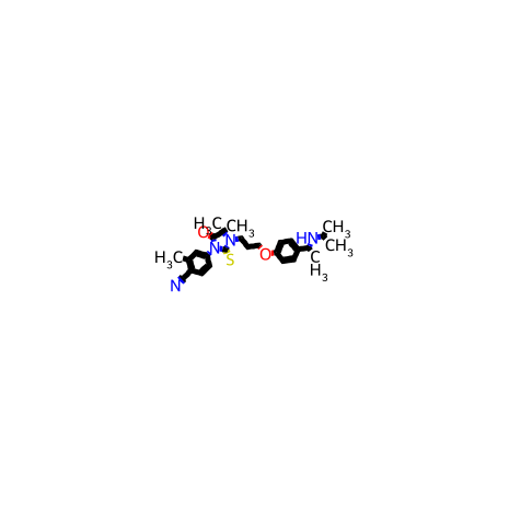 Cc1cc(N2C(=O)C(C)(C)N(CCCOc3ccc(C(C)NC(C)C)cc3)C2=S)ccc1C#N